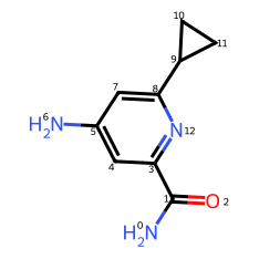 NC(=O)c1cc(N)cc(C2CC2)n1